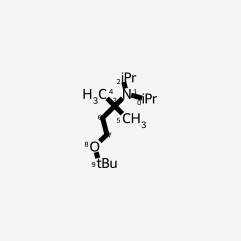 CC(C)N(C(C)C)C(C)(C)CCOC(C)(C)C